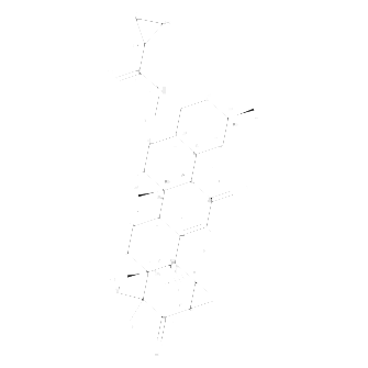 C[C@@H]1[C@H]2[C@H]3C(=O)C=C4[C@@]5(C)C6O[C@@]6(C#N)C(=O)C(C)(C)[C@@H]5CC[C@@]4(C)[C@]3(C)CC[C@@]2(CNC(=O)C2CC2)CC[C@H]1C